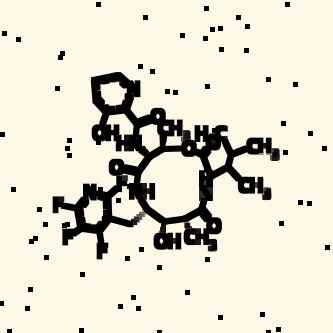 CC(C)C(C)C1NC(=O)[C@H](C)[C@H](O)[C@H](Cc2c(F)nc(F)c(F)c2F)NC(=O)[C@@H](NC(=O)c2ncccc2O)[C@@H](C)OC1=O